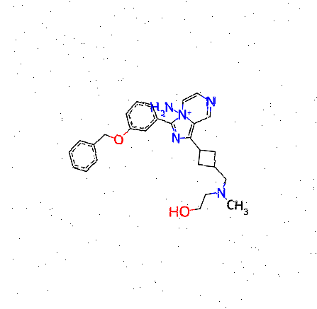 CN(CCO)CC1CC(C2=C3C=NC=C[N+]3(N)C(c3cccc(OCc4ccccc4)c3)=N2)C1